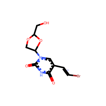 O=c1[nH]c(=O)n(C2COC(CO)O2)cc1/C=C/Br